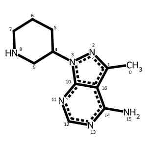 Cc1nn(C2CCCNC2)c2ncnc(N)c12